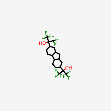 OC(C1CCC2C(CC3CC(C(O)(C(F)(F)F)C(F)(F)F)CCC32)C1)(C(F)(F)F)C(F)(F)F